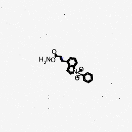 NOC(=O)/C=C/c1cccc2c1ccn2S(=O)(=O)c1ccccc1